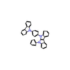 c1ccc(-n2c3ccccc3c3c4ccccc4n(-c4ccc(-n5c6ccccc6c6ccccc65)cc4)c32)cc1